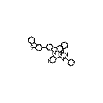 c1ccc(-c2nc(-c3ccccc3)nc(-c3ccncc3-n3c4ccccc4c4ccc(-c5ccc6sc7ccccc7c6c5)cc43)n2)cc1